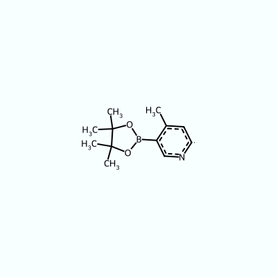 Cc1c[c]ncc1B1OC(C)(C)C(C)(C)O1